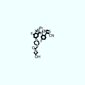 CC(C)n1nc2c(F)cc(N3CCN(CC(=O)N4CC(O)C4)CC3)cc2c1N(C)c1cc(F)ccc1-c1ncsc1C#N